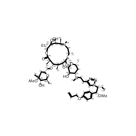 C=CCOc1ccc([C@@H](OC)[C@@H](CF)n2cc(CCN(C)[C@H]3C[C@@H](C)O[C@@H](O[C@@H]4[C@@H](C)[C@H](OC[C@H]5C[C@@](C)(OC)[C@@H](O)[C@H](C)O5)[C@@H](C)C(=O)O[C@H](CC)[C@@](C)(O)[C@H](O)[C@@H](C)N(C)C[C@H](C)C[C@@]4(C)O)[C@@H]3O)nn2)cc1